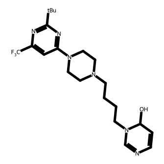 CC(C)(C)c1nc(N2CCN(CCCCN3C=NC=CC3O)CC2)cc(C(F)(F)F)n1